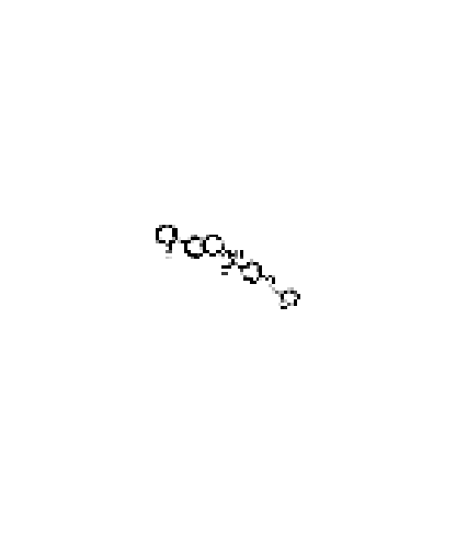 O=C(N[C@H]1CCc2cc(-c3cccc[n+]3[O-])ccc2C1)c1ccc(OC[C@@H]2CCCO2)cc1